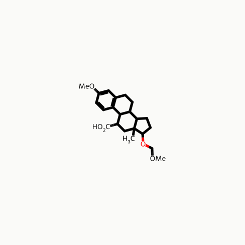 COCOC1CCC2C3CCc4cc(OC)ccc4C3C(C(=O)O)CC12C